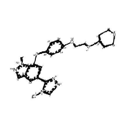 CCn1cnnc1-c1cc(Oc2ccc(OCCOC3CCOCC3)cc2)c2c(cnn2C)c1